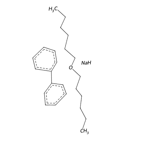 CCCCCCOCCCCCC.[NaH].c1ccc(-c2ccccc2)cc1